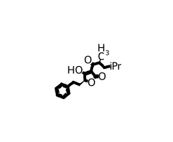 CC(C)C[C@@H](C)C(=O)C1=C(O)[C@H](CCc2ccccc2)OC1=O